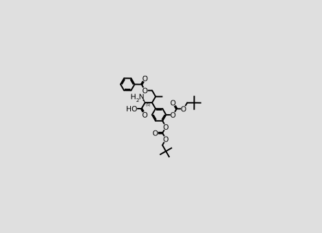 CC(COC(=O)c1ccccc1)C(c1ccc(OC(=O)OCC(C)(C)C)c(OC(=O)OCC(C)(C)C)c1)[C@H](N)C(=O)O